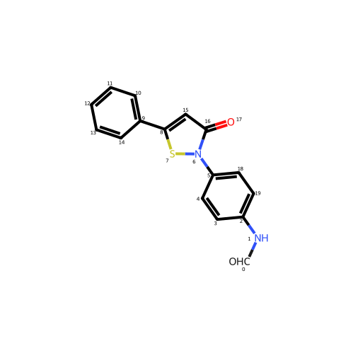 O=CNc1ccc(-n2sc(-c3ccccc3)cc2=O)cc1